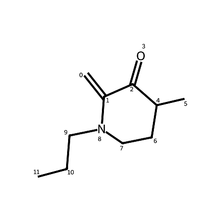 C=C1C(=O)C(C)CCN1CCC